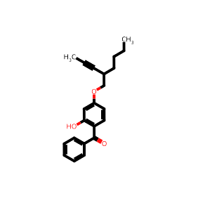 CC#CC(CCCC)COc1ccc(C(=O)c2ccccc2)c(O)c1